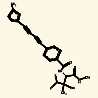 CC(O)(C(F)F)[C@H](NC(=O)c1ccc(C#CC#Cc2ccc(N)s2)cc1)C(=O)NO